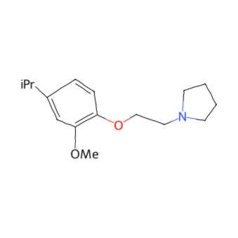 COc1cc(C(C)C)ccc1OCCN1CCCC1